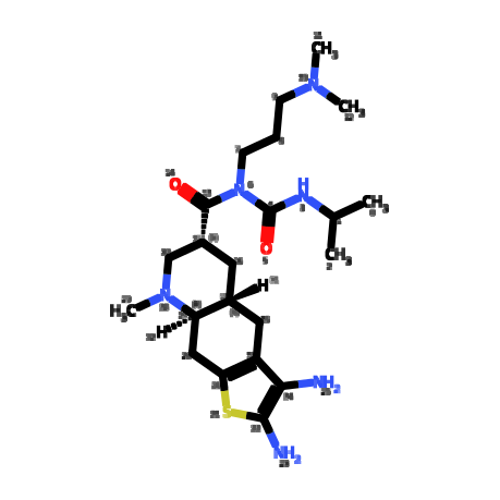 CC(C)NC(=O)N(CCCN(C)C)C(=O)[C@@H]1C[C@@H]2Cc3c(sc(N)c3N)C[C@H]2N(C)C1